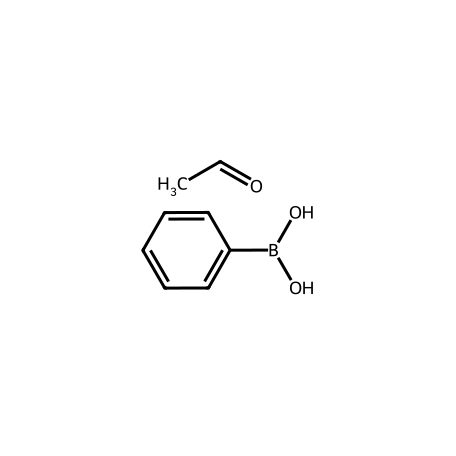 CC=O.OB(O)c1ccccc1